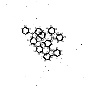 c1ccc(-n2c3ccccc3c3c([Si](c4ccccc4)(c4ccccc4)c4cc(-n5c6ccccc6c6ccccc65)cc(-n5c6ccccc6c6ccccc65)c4)cccc32)cc1